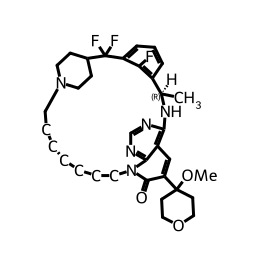 COC1(c2cc3c4ncnc3n(c2=O)CCCCCCCN2CCC(CC2)C(F)(F)c2cccc(c2F)[C@@H](C)N4)CCOCC1